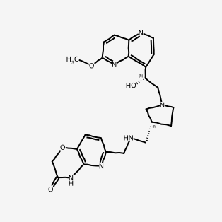 COc1ccc2nccc([C@@H](O)CN3CC[C@H](CNCc4ccc5c(n4)NC(=O)CO5)C3)c2n1